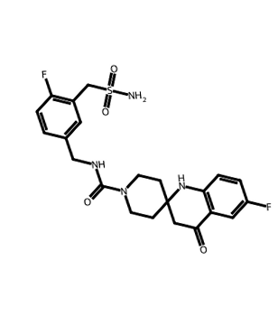 NS(=O)(=O)Cc1cc(CNC(=O)N2CCC3(CC2)CC(=O)c2cc(F)ccc2N3)ccc1F